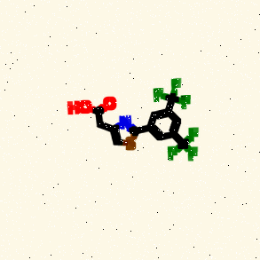 O=C(O)Cc1csc(-c2cc(C(F)(F)F)cc(C(F)(F)F)c2)n1